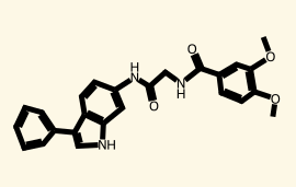 COc1ccc(C(=O)NCC(=O)Nc2ccc3c(-c4ccccc4)c[nH]c3c2)cc1OC